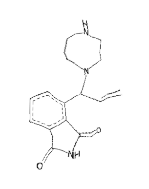 C=CC(c1cccc2c1C(=O)NC2=O)N1CCNCC1